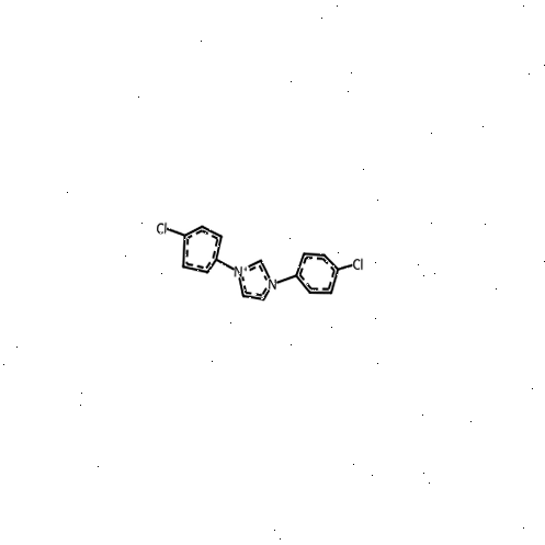 Clc1ccc(-n2cc[n+](-c3ccc(Cl)cc3)c2)cc1